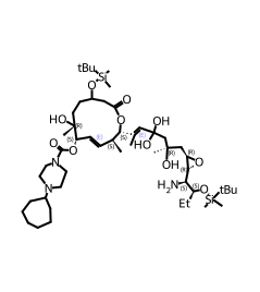 CC[C@H](O[Si](C)(C)C(C)(C)C)[C@@H](N)[C@H]1O[C@@H]1C[C@@](C)(O)CC(O)(O)/C=C(\C)[C@H]1OC(=O)CC(O[Si](C)(C)C(C)(C)C)CC[C@@](C)(O)[C@@H](OC(=O)N2CCN(C3CCCCCC3)CC2)/C=C/[C@@H]1C